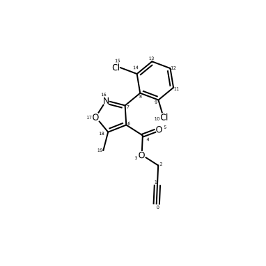 C#CCOC(=O)c1c(-c2c(Cl)cccc2Cl)noc1C